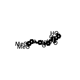 COc1cc2c(cc1OC)CN(CCc1ccc(NC(=O)c3cccc(C=c4[nH]c(=O)c(=Cc5cccc(O)c5)n(C)c4=O)c3)cc1)CC2